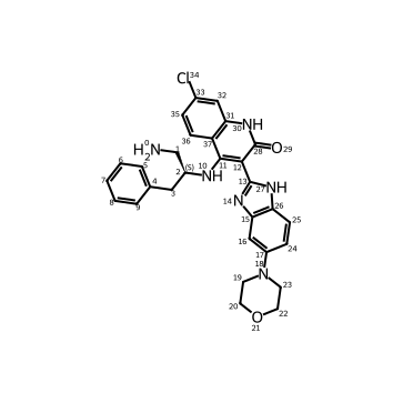 NC[C@H](Cc1ccccc1)Nc1c(-c2nc3cc(N4CCOCC4)ccc3[nH]2)c(=O)[nH]c2cc(Cl)ccc12